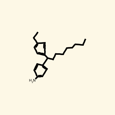 CCCCCCCCC(c1ccc(N)cc1)c1ccc(CC)cc1